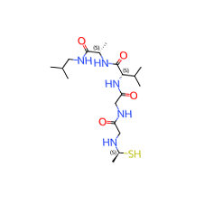 CC(C)CNC(=O)[C@H](C)NC(=O)[C@@H](NC(=O)CNC(=O)CN[C@H](C)S)C(C)C